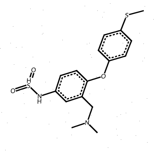 CSc1ccc(Oc2ccc(N[SH](=O)=O)cc2CN(C)C)cc1